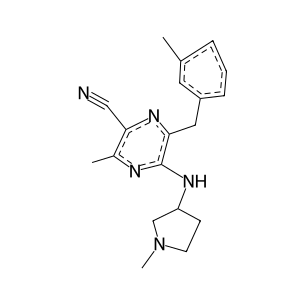 Cc1cccc(Cc2nc(C#N)c(C)nc2NC2CCN(C)C2)c1